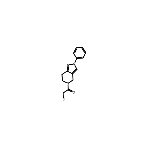 O=C(CCl)N1CCc2nn(-c3ccccc3)cc2C1